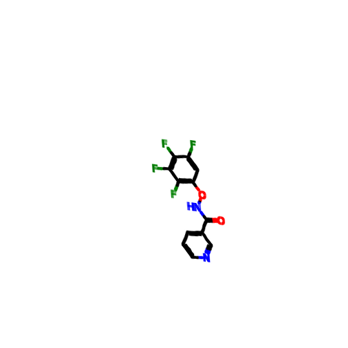 O=C(NOc1cc(F)c(F)c(F)c1F)c1cccnc1